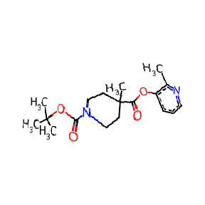 Cc1ncccc1OC(=O)C1(C)CCN(C(=O)OC(C)(C)C)CC1